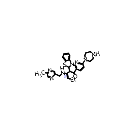 CC/C=C(/NCc1cnc(C)cn1)C1C(=O)c2ccc(N3CCCNCC3)nc2N2c3ccccc3SC12